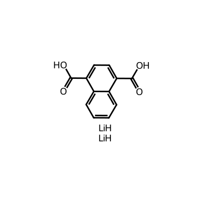 O=C(O)c1ccc(C(=O)O)c2ccccc12.[LiH].[LiH]